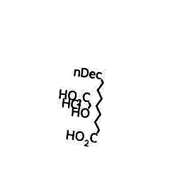 CCCCCCCCCCCCCCCCCC(=O)O.Cl.O=C(O)CO